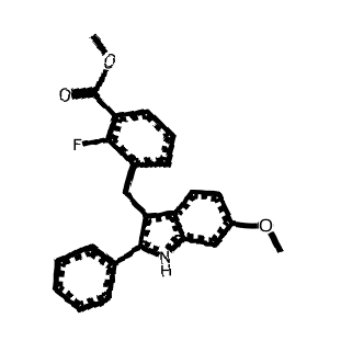 COC(=O)c1cccc(Cc2c(-c3ccccc3)[nH]c3cc(OC)ccc23)c1F